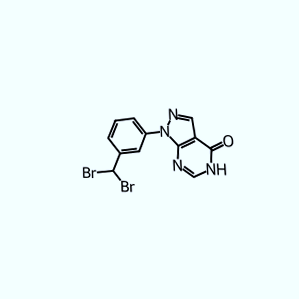 O=c1[nH]cnc2c1cnn2-c1cccc(C(Br)Br)c1